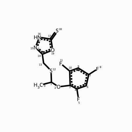 CC(Oc1c(F)cc(F)cc1F)SCc1n[nH]c(=S)o1